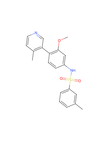 COc1cc(NS(=O)(=O)c2cccc(C)c2)ccc1-c1cnccc1C